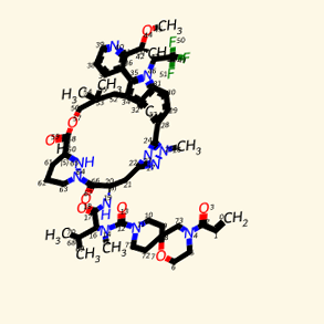 C=CC(=O)N1CCOC2(CCN(C(=O)N(C)C(C(=O)N[C@H]3Cc4nc(n(C)n4)-c4ccc5c(c4)c(c(-c4cccnc4[C@H](C)OC)n5CC(F)(F)F)CC(C)(C)COC(=O)[C@@H]4CCCN(N4)C3=O)C(C)C)CC2)C1